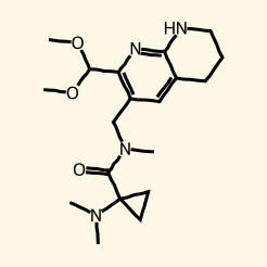 COC(OC)c1nc2c(cc1CN(C)C(=O)C1(N(C)C)CC1)CCCN2